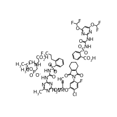 C#CC(C)Oc1cc(N2C(=O)C3=C(CCCC3)C2=O)c(F)cc1Cl.COc1nc(C)nc(NC(=O)NS(=O)(=O)c2ccccc2CCC(F)(F)F)n1.C[S+](C)C.O=C(Nc1nc(OC(F)F)cc(OC(F)F)n1)NS(=O)(=O)c1ccccc1C(=O)O.O=C(O)CNCP(=O)([O-])O